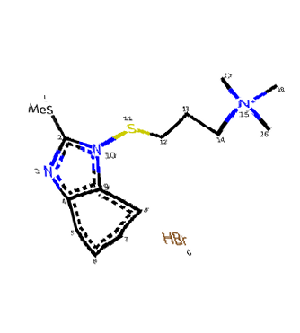 Br.CSc1nc2ccccc2n1SCCC[N+](C)(C)C